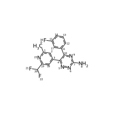 Cc1cc(-c2nnc(N)nc2-c2cccc(F)c2)cc(C(F)F)n1